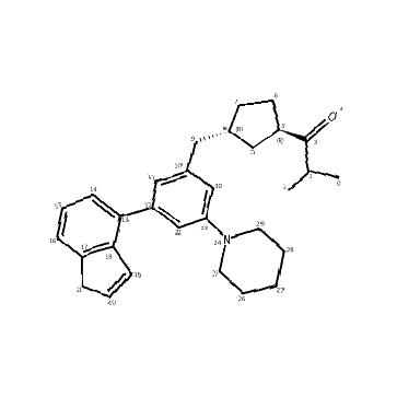 CC(C)C(=O)[C@@H]1CC[C@@H](Cc2cc(-c3cccc4c3C=CC4)cc(N3CCCCC3)c2)C1